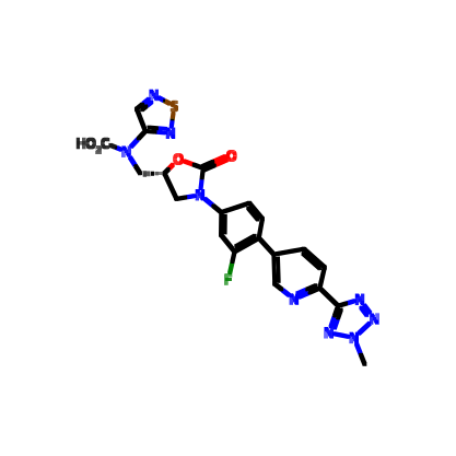 Cn1nnc(-c2ccc(-c3ccc(N4C[C@H](CN(C(=O)O)c5cnsn5)OC4=O)cc3F)cn2)n1